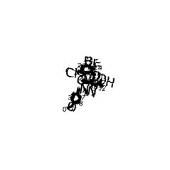 COc1ccc(Cn2cnc(C(C)O)c(Oc3cc(Cl)cc(Br)c3F)c2=O)cc1